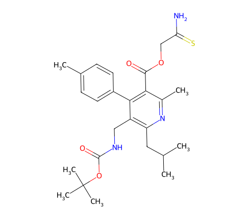 Cc1ccc(-c2c(CNC(=O)OC(C)(C)C)c(CC(C)C)nc(C)c2C(=O)OCC(N)=S)cc1